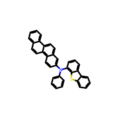 c1ccc(N(c2ccc3c(ccc4c5ccccc5ccc34)c2)c2cccc3c2sc2ccccc23)cc1